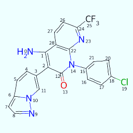 Nc1c(-c2ccc3ccnn3c2)c(=O)n(-c2ccc(Cl)cc2)c2nc(C(F)(F)F)ccc12